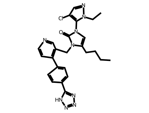 CCCCc1cn(-c2c(Cl)cnn2CC)c(=O)n1Cc1cnccc1-c1ccc(-c2nnn[nH]2)cc1